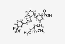 CC[SiH](CC)CC.O=C(O)c1cccc(-c2cccc3c2CC(Cc2cccc(C(F)(F)F)c2)O3)c1